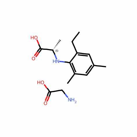 CCc1cc(C)cc(C)c1N[C@@H](C)C(=O)O.NCC(=O)O